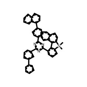 C[Si]1(C)c2cccc(-c3nc(-c4ccc(-c5cccc6ccccc56)cc4)nc(-c4cccc(-c5ccccc5)c4)n3)c2-c2c1ccc1ccccc21